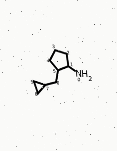 NC1CCCC1CC1CC1